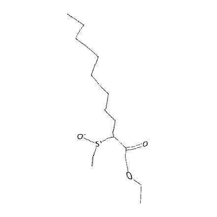 CCCCCCCCC(C(=O)OCC)[S+](C)[O-]